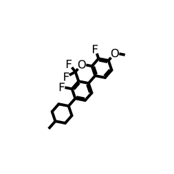 COc1ccc2c(c1F)OC(F)(F)c1c-2ccc(C2CCC(C)CC2)c1F